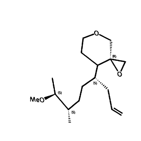 C=CC[C@H](CC[C@H](C)[C@H](C)OC)C1CCOC[C@@]12CO2